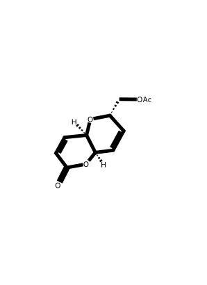 CC(=O)OC[C@@H]1C=C[C@H]2OC(=O)C=C[C@H]2O1